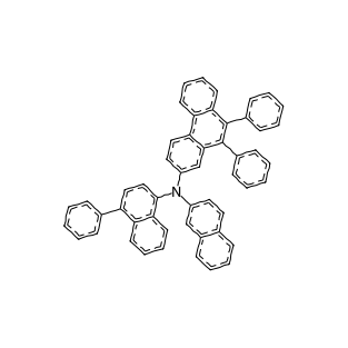 c1ccc(-c2ccc(N(c3ccc4ccccc4c3)c3ccc4c(c3)c(-c3ccccc3)c(-c3ccccc3)c3ccccc34)c3ccccc23)cc1